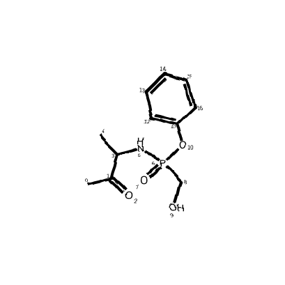 CC(=O)C(C)NP(=O)(CO)Oc1ccccc1